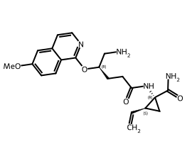 C=C[C@@H]1C[C@]1(NC(=O)CC[C@H](CN)Oc1nccc2cc(OC)ccc12)C(N)=O